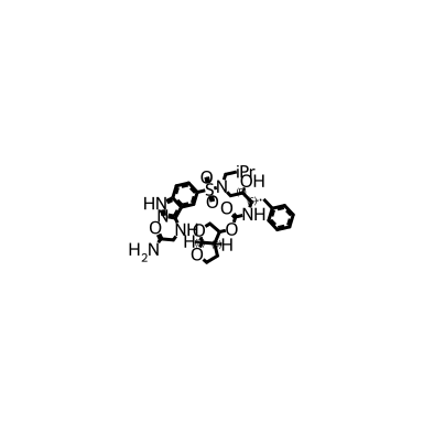 CC(C)CN(C[C@@H](O)[C@H](Cc1ccccc1)NC(=O)OC1CO[C@H]2OCC[C@@H]12)S(=O)(=O)c1ccc2[nH]nc(NCC(N)=O)c2c1